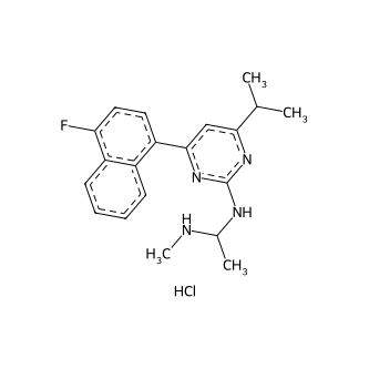 CNC(C)Nc1nc(-c2ccc(F)c3ccccc23)cc(C(C)C)n1.Cl